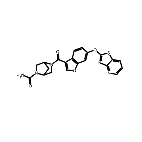 NC(=O)N1CC2CC1CN2C(=O)c1coc2cc(Oc3nc4ncccc4s3)ccc12